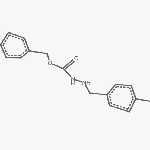 COc1ccc(CNNC(=O)OCc2ccccc2)cc1